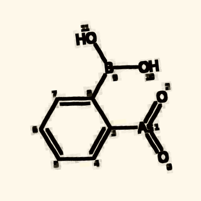 O=[As](=O)c1ccccc1B(O)O